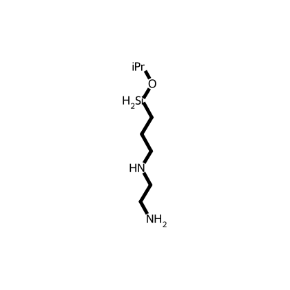 CC(C)O[SiH2]CCCNCCN